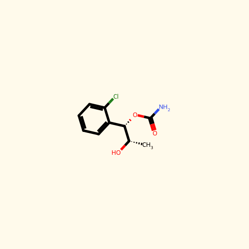 C[C@H](O)[C@@H](OC(N)=O)c1ccccc1Cl